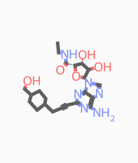 CCNC(=O)[C@H]1O[C@@H](n2cnc3c(N)nc(C#CCC4CCC(CO)CC4)nc32)C(O)[C@H]1O